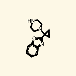 c1ccc2oc(C3(N4CCNCC4)CC3)nc2c1